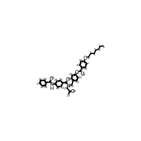 CCCCCCCOc1ccc(C(=O)Oc2ccc(CN(CC(C)=O)C(=O)c3ccc(NC(=O)c4ccccc4)cc3)cc2)cc1